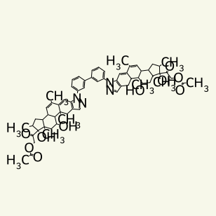 CC(=O)OCC(=O)C1(O)C(C)CC2C3C=C(C)C4=Cc5c(cnn5-c5cccc(-c6cccc(-n7ncc8c7C=C7C(C)=CC9C(C(O)CC%10(C)C9CC(C)C%10(O)C(=O)COC(C)=O)C7(C)C8)c6)c5)CC4(C)C3C(O)CC21C